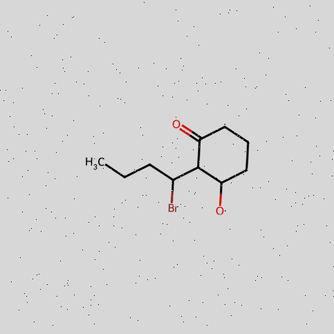 CCCC(Br)C1C(=O)[CH]CCC1[O]